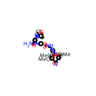 COc1ccc(-c2cnoc2-c2cc(OC)c(OC)c(OC)c2)cc1OC(=O)N1CCN(CCNC(=O)OC2CCC(Nc3cc(-n4nc(C(F)(F)F)c5c4CC(C)(C)CC5=O)ccc3C(N)=O)CC2)CC1